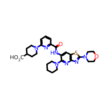 O=C(Nc1cc2sc(N3CCOCC3)nc2nc1N1CCCCC1)c1cccc(N2CCC(C(=O)O)CC2)n1